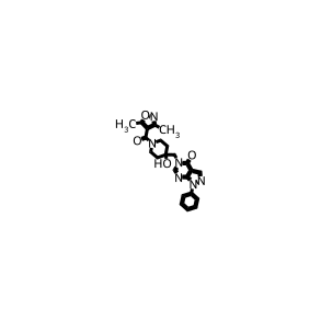 Cc1noc(C)c1C(=O)N1CCC(O)(Cn2cnc3c(cnn3-c3ccccc3)c2=O)CC1